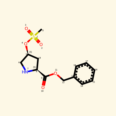 CS(=O)(=O)O[C@@H]1CN[C@H](C(=O)OCc2ccccc2)C1